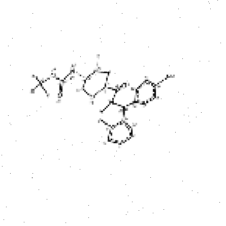 C[C@@H]1C[C@@H](C(=O)N2CCc3ccccc3[C@@H]2c2ccc(F)cc2)OC[C@@H]1NC(=O)OC(C)(C)C